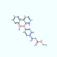 CCOC(=O)CN(C)c1ccc(Oc2ncccc2-c2ccccc2OC)cn1